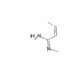 C/C=C\C(N)=N/C